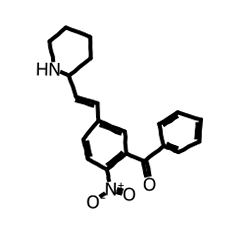 O=C(c1ccccc1)c1cc(/C=C/C2CCCCN2)ccc1[N+](=O)[O-]